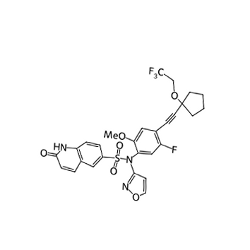 COc1cc(C#CC2(OCC(F)(F)F)CCCC2)c(F)cc1N(c1ccon1)S(=O)(=O)c1ccc2[nH]c(=O)ccc2c1